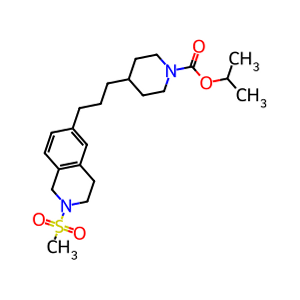 CC(C)OC(=O)N1CCC(CCCc2ccc3c(c2)CCN(S(C)(=O)=O)C3)CC1